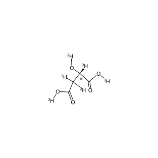 [2H]OC(=O)C([2H])([2H])[C@]([2H])(O[2H])C(=O)O[2H]